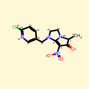 CC1C(=O)C([N+](=O)[O-])=C2N(Cc3ccc(Cl)nc3)CCN21